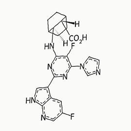 O=C(O)[C@H]1C2CCC(CC2)[C@@H]1Nc1nc(-c2c[nH]c3ncc(F)cc23)nc(-n2ccnc2)c1F